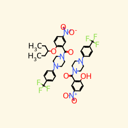 CCC(CC)Oc1ccc([N+](=O)[O-])cc1C(=O)N1CCN(c2ccc(C(F)(F)F)cc2)CC1.O=C(c1cc([N+](=O)[O-])ccc1O)N1CCN(c2ccc(C(F)(F)F)cc2)CC1